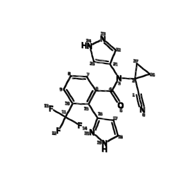 N#CC1(N(C(=O)c2cccc(C(F)(F)F)c2-c2cc[nH]n2)c2cn[nH]c2)CC1